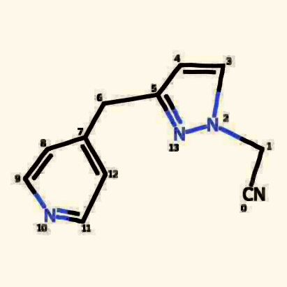 N#CCn1ccc(Cc2ccncc2)n1